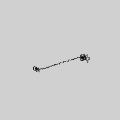 C[Si](C)(Cl)CCCCCCCCCCCCCCCCCCCCCCCCCCCCCCCN=C=O